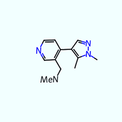 CNCc1cnccc1-c1cnn(C)c1C